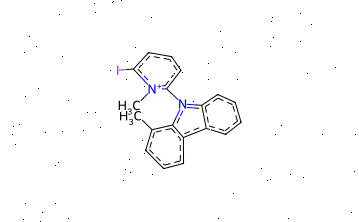 Cc1cccc2c3ccccc3n(-c3cccc(I)[n+]3C)c12